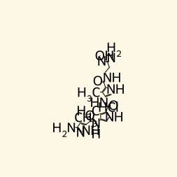 Cc1c(NC(=O)c2[nH]cc(NC(=O)c3[nH]nc(N)c3C)c2C)c[nH]c1C(=O)NCCC(N)=NO.Cl